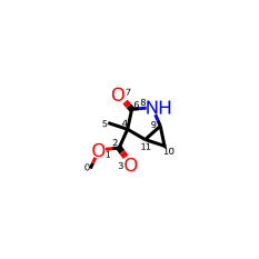 COC(=O)C1(C)C(=O)NC2CC21